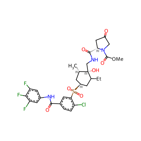 CCC1C[C@@H](S(=O)(=O)c2cc(C(=O)Nc3cc(F)c(F)c(F)c3)ccc2Cl)C[C@H](C)[C@@]1(O)CNC(=O)[C@@H]1CC(=O)CN1C(=O)OC